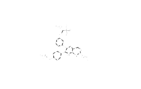 NCc1ccc(-c2nc3nc(N)ncc3cc2-c2ccccc2)cc1.O=C(O)C(F)(F)F